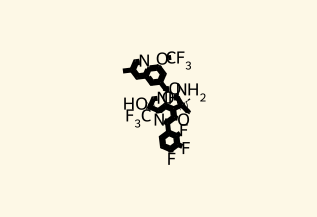 Cc1cnc2c(OC(F)(F)F)cc(C(=O)NC[C@](O)(c3cc4c(c(-c5ccc(F)c(F)c5F)n3)OC[C@]4(C)C(N)=O)C(F)(F)F)cc2c1